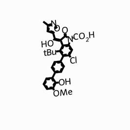 COc1cccc(-c2ccc(-c3c(Cl)cc4c(c3C(C)(C)C)C(=C(O)c3cc(C)no3)C(=O)N4C(=O)O)cc2)c1O